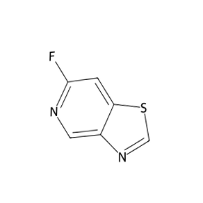 Fc1cc2scnc2cn1